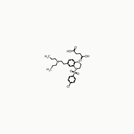 CCCN(CCC)CCc1ccc2c(c1)N(S(=O)(=O)c1ccc(Cl)cc1)CCO2.O=C(O)CCC(=O)O